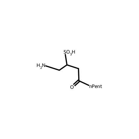 CCCCCC(=O)CC(CN)S(=O)(=O)O